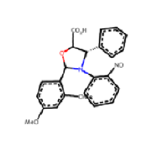 COc1ccc(C2OC(C(=O)O)[C@H](c3ccccc3)N2c2ccccc2N=O)c(OC)c1